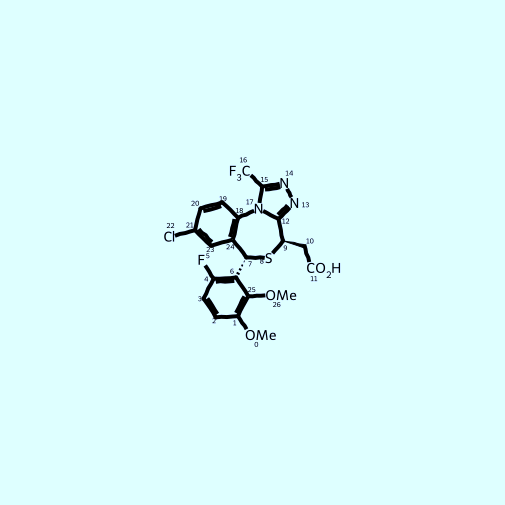 COc1ccc(F)c([C@H]2S[C@H](CC(=O)O)c3nnc(C(F)(F)F)n3-c3ccc(Cl)cc32)c1OC